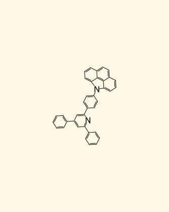 c1ccc(-c2cc(-c3ccccc3)nc(-c3ccc(-n4c5cccc6ccc7cccc4c7c65)cc3)c2)cc1